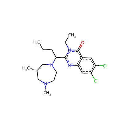 CCCC(c1nc2cc(Cl)c(Cl)cc2c(=O)n1CC)N1CCN(C)C[C@H](C)C1